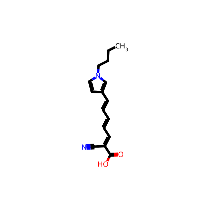 CCCCn1ccc(/C=C/C=C/C=C(\C#N)C(=O)O)c1